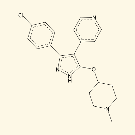 CN1CCC(Oc2[nH]nc(-c3ccc(Cl)cc3)c2-c2ccncc2)CC1